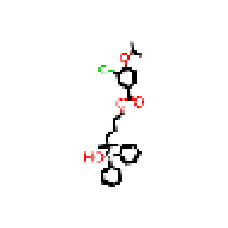 CC(C)Oc1ccc(C(=O)OCCCCC(C)(C)[Si](O)(c2ccccc2)c2ccccc2)cc1Cl